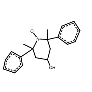 CC1(c2ccccc2)CC(O)CC(C)(c2ccccc2)N1[O]